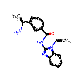 C=Cn1c(NC(=O)c2cccc(C(=C)N)c2)nc2ccccc21